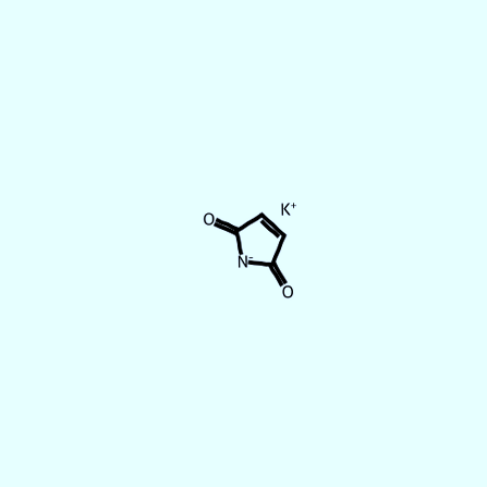 O=C1C=CC(=O)[N-]1.[K+]